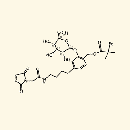 CCC(C)(C)C(=O)OCc1ccc(CCCCNC(=O)CN2C(=O)C=CC2=O)cc1O[C@@H]1O[C@H](C(=O)O)[C@@H](O)[C@H](O)[C@H]1O